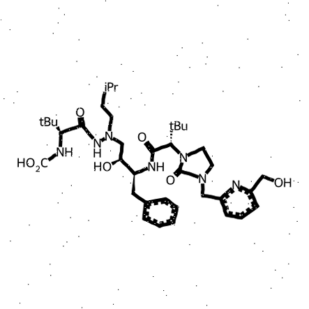 CC(C)CCN(C[C@H](O)[C@H](Cc1ccccc1)NC(=O)[C@@H](N1CCN(Cc2cccc(CO)n2)C1=O)C(C)(C)C)NC(=O)[C@@H](NC(=O)O)C(C)(C)C